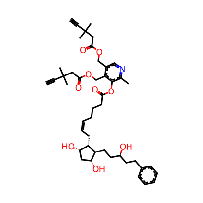 C#CC(C)(C)CC(=O)OCc1cnc(C)c(OC(=O)CCC/C=C\C[C@@H]2[C@@H](CC[C@@H](O)CCc3ccccc3)[C@H](O)C[C@@H]2O)c1COC(=O)CC(C)(C)C#C